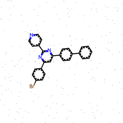 Brc1ccc(-c2cc(-c3ccc(-c4ccccc4)cc3)nc(-c3ccncc3)n2)cc1